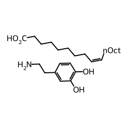 CCCCCCCC/C=C\CCCCCCCC(=O)O.NCCc1ccc(O)c(O)c1